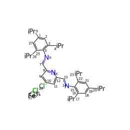 CC(C)c1cc(C(C)C)c(N=Cc2cccc(C=Nc3c(C(C)C)cc(C(C)C)cc3C(C)C)n2)c(C(C)C)c1.[Cl-].[Cl-].[Cl-].[Fe+3]